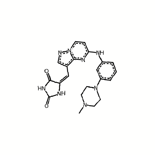 CN1CCN(c2cccc(Nc3ccn4ncc(C=C5NC(=O)NC5=O)c4n3)c2)CC1